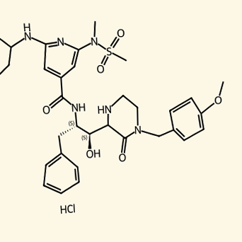 CCC(C)Nc1cc(C(=O)N[C@@H](Cc2ccccc2)[C@H](O)C2NCCN(Cc3ccc(OC)cc3)C2=O)cc(N(C)S(C)(=O)=O)n1.Cl